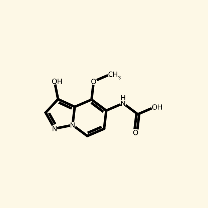 COc1c(NC(=O)O)ccn2ncc(O)c12